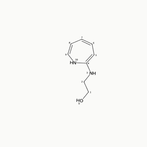 OCCNC1=CC=CC=CN1